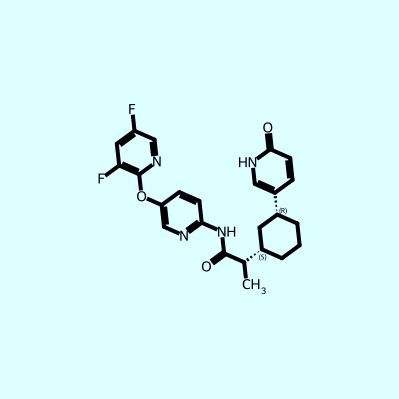 CC(C(=O)Nc1ccc(Oc2ncc(F)cc2F)cn1)[C@H]1CCC[C@@H](c2ccc(=O)[nH]c2)C1